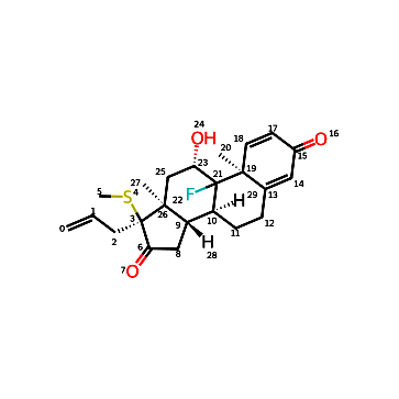 C=CC[C@@]1(SC)C(=O)C[C@H]2[C@@H]3CCC4=CC(=O)C=C[C@]4(C)C3(F)[C@@H](O)C[C@@]21C